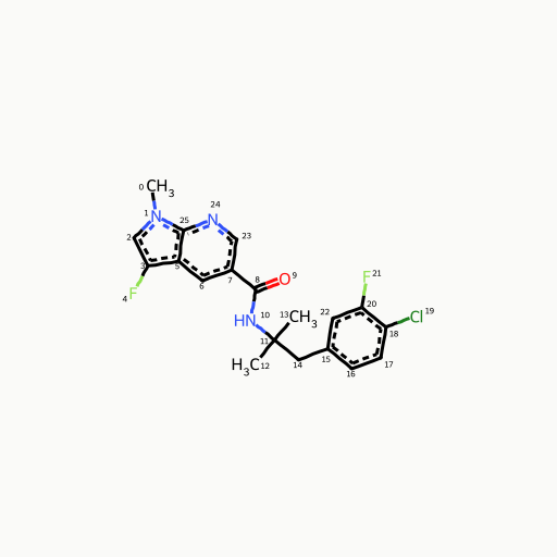 Cn1cc(F)c2cc(C(=O)NC(C)(C)Cc3ccc(Cl)c(F)c3)cnc21